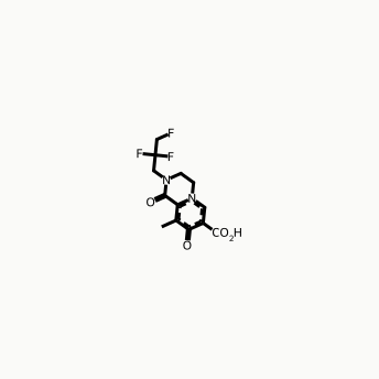 Cc1c2n(cc(C(=O)O)c1=O)CCN(CC(F)(F)CF)C2=O